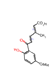 COc1ccc(O)c(C(=O)/C=C/C(C)=C/C(=O)O)c1